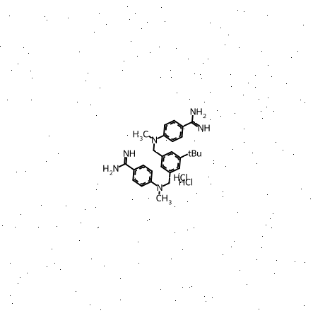 CN(Cc1cc(CN(C)c2ccc(C(=N)N)cc2)cc(C(C)(C)C)c1)c1ccc(C(=N)N)cc1.Cl.Cl